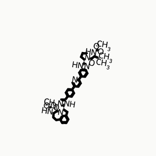 COC(=O)N[C@H]1CCc2cccc3c2N(C1=O)[C@H](c1ncc(-c2ccc(-c4ccc(-c5ccc6nc([C@@H]7CCCN7C(=O)[C@@H](NC(=O)OC)C(C)C)[nH]c6c5)nc4)cc2)[nH]1)C3